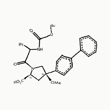 CO[C@@]1(c2ccc(-c3ccccc3)cc2)C[C@@H](C(=O)O)N(C(=O)C(NC(=O)OC(C)(C)C)C(C)C)C1